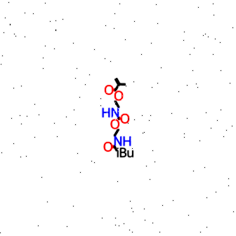 C=C(C)C(=O)OCCNC(=O)OCCNC(=O)C(C)CC